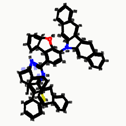 CC1C/C=C(c2ccc3sc4ccccc4c3c2)/N=C(c2ccc(-n3c4cc5ccccc5cc4c4cc5ccccc5cc43)c3oc4ccccc4c23)\N=C/1c1ccc2ccccc2c1